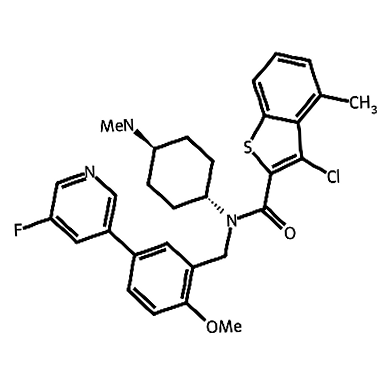 CN[C@H]1CC[C@H](N(Cc2cc(-c3cncc(F)c3)ccc2OC)C(=O)c2sc3cccc(C)c3c2Cl)CC1